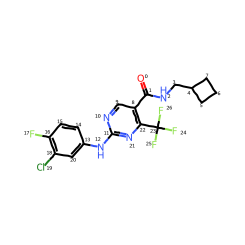 O=C(NCC1CCC1)c1cnc(Nc2ccc(F)c(Cl)c2)nc1C(F)(F)F